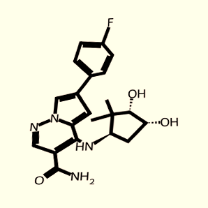 CC1(C)[C@H](O)[C@H](O)C[C@H]1Nc1c(C(N)=O)cnn2cc(-c3ccc(F)cc3)cc12